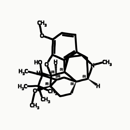 COc1ccc2c3c1O[C@H]1[C@@]4(OC)CC[C@@]5(C[C@@H]4C(C)(O)C(C)(C)C)[C@@H](C2)N(C)CC[C@]315